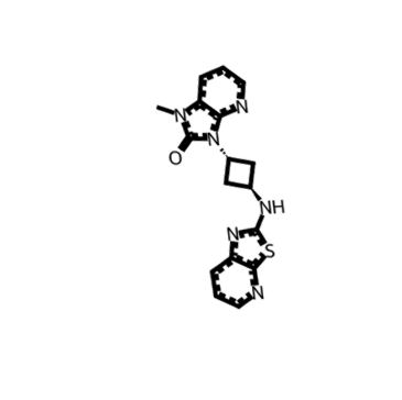 Cn1c(=O)n([C@H]2C[C@H](Nc3nc4cccnc4s3)C2)c2ncccc21